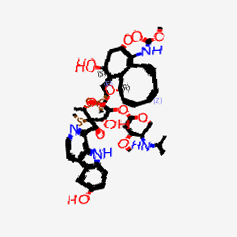 COC(=O)NC1=C2C#C/C=C\C#C[C@H](OC3OC(C)C(SC)(C(=O)c4nccc5c4[nH]c4ccc(O)cc45)C(O)C3OC3CC(OC)C(NC(C)C)CO3)C2/C(=C\CS(C)=S)[C@@H](O)CC1=O